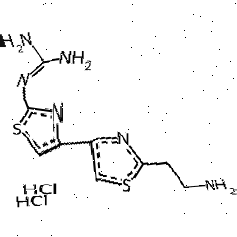 Cl.Cl.NCCc1nc(-c2csc(N=C(N)N)n2)cs1